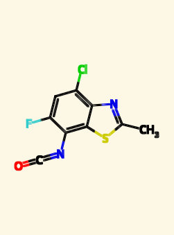 Cc1nc2c(Cl)cc(F)c(N=C=O)c2s1